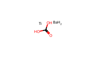 O=C(O)O.[BaH2].[Ti]